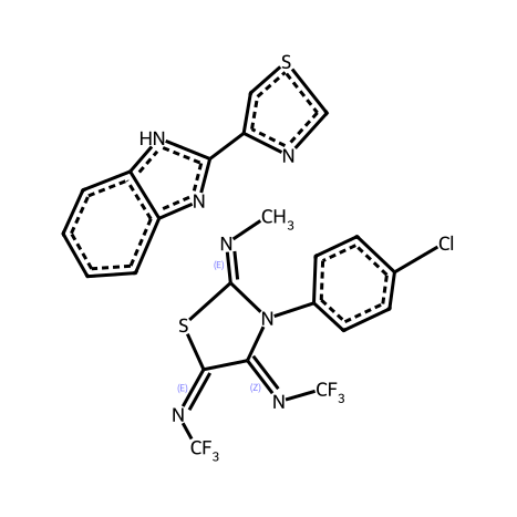 C/N=C1/SC(=N/C(F)(F)F)/C(=N/C(F)(F)F)N1c1ccc(Cl)cc1.c1ccc2[nH]c(-c3cscn3)nc2c1